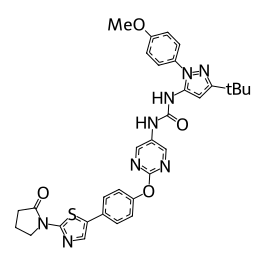 COc1ccc(-n2nc(C(C)(C)C)cc2NC(=O)Nc2cnc(Oc3ccc(-c4cnc(N5CCCC5=O)s4)cc3)nc2)cc1